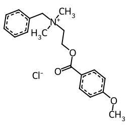 COc1ccc(C(=O)OCC[N+](C)(C)Cc2ccccc2)cc1.[Cl-]